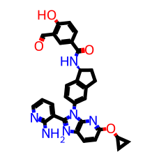 Nc1ncccc1-c1nc2ccc(OC3CC3)nc2n1-c1ccc2c(c1)CC[C@@H]2NC(=O)c1ccc(O)c(C=O)c1